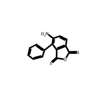 O=[N+]([O-])c1ccc2c(c1-c1ccccc1)C(=S)OC2=S